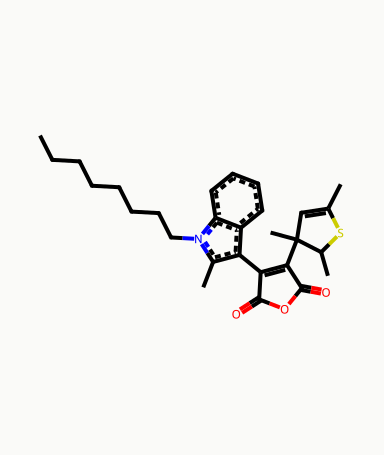 CCCCCCCCn1c(C)c(C2=C(C3(C)C=C(C)SC3C)C(=O)OC2=O)c2ccccc21